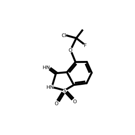 CC(F)(Cl)Oc1cccc2c1C(=N)NS2(=O)=O